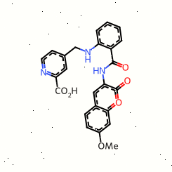 COc1ccc2cc(NC(=O)c3ccccc3NCc3ccnc(C(=O)O)c3)c(=O)oc2c1